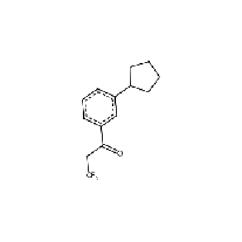 O=C(CC(F)(F)F)c1cccc(C2CCCC2)c1